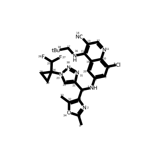 Cc1nc(C(Nc2cc(Cl)c3ncc(C#N)c(NCC(C)(C)C)c3c2)c2cn(C3(C(F)F)CC3)nn2)c(C)o1